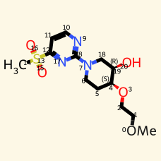 COCCO[C@H]1CCN(c2nccc(S(C)(=O)=O)n2)C[C@H]1O